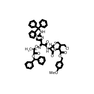 COc1ccc(COC(=O)C2=C(CCl)CS[C@H]3C(NC(=O)C(=NO[C@H](C)C(=O)OC(c4ccccc4)c4ccccc4)c4csc(NC(c5ccccc5)(c5ccccc5)c5ccccc5)n4)C(=O)N23)cc1